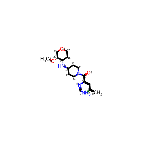 C=C(Cl)/C=C(\N=C/N)C(=O)N1CCC(N[C@H]2CCOC[C@H]2OC)CC1